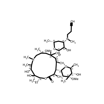 C#CCCN(C)[C@H]1C[C@@H](C)O[C@@H](O[C@@H]2[C@@H](C)C([C@H]3C[C@@](C)(OC)[C@@H](O)[C@H](C)O3)[C@@H](C)C(=O)O[C@H](CC)[C@@](C)(O)[C@H](O)[C@@H](C)N(C)C[C@H](C)C[C@@]2(C)OC)[C@@H]1O